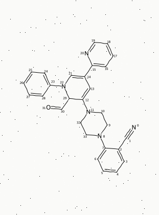 N#Cc1ccccc1N1CCN(C2=CC(c3ccccn3)=CN(c3ccccc3)C2C=O)CC1